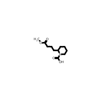 COC(=O)CCCC1CCCCN1C(=O)O